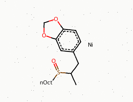 CCCCCCCCS(=O)C(C)Cc1ccc2c(c1)OCO2.[Ni]